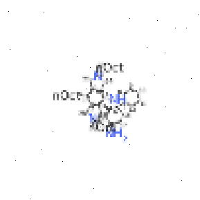 CCCCCCCCc1c2c(c(NC3(c4ccccc4)C=CC(N)=CC3)c3c1CN(CCCCCCCC)C3)CN(CCCCCCCC)C2